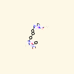 CCC(c1ncc(-c2ccc(-c3ccc4cc(-c5cnc([C@@H]6CCCN6C(=O)[C@@H](NC(=O)OC)C(C)C)[nH]5)ccc4c3)cc2)[nH]1)N(CC)C(=O)C(c1ccccc1)N1CCOCC1